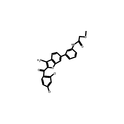 COCC(=O)Nc1cccc(-c2ccc3c(N)c(C(=O)c4ccc(Cl)cc4Cl)oc3c2)c1